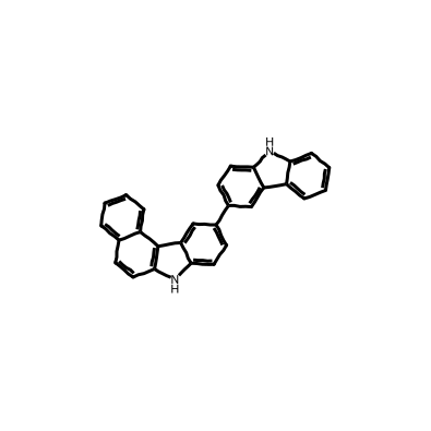 c1ccc2c(c1)ccc1[nH]c3ccc(-c4ccc5[nH]c6ccccc6c5c4)cc3c12